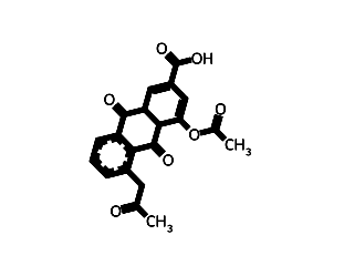 CC(=O)Cc1cccc2c1C(=O)C1C(OC(C)=O)=CC(C(=O)O)=CC1C2=O